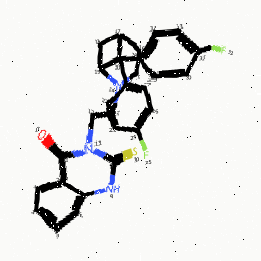 O=c1c2ccccc2[nH]c(=S)n1CCN1CCC2CC1C2(c1ccc(F)cc1)c1ccc(F)cc1